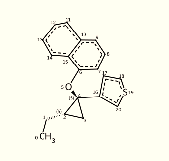 CC[C@H]1C[C@@]1(Oc1cccc2ccccc12)c1ccsc1